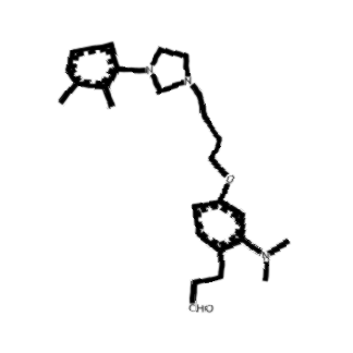 Cc1cccc(N2CCN(CCCCOc3ccc(CCC=O)c(N(C)C)c3)C2)c1C